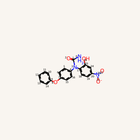 NC(=O)N(c1ccc(Oc2ccccc2)cc1)c1ccc([N+](=O)[O-])cc1O